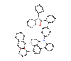 c1ccc(-c2ccc(-c3ccccc3N(c3ccc(-c4ccccc4-c4oc5ccccc5c4-c4ccccc4)cc3)c3ccc(-c4cccc5ccccc45)cc3)cc2)cc1